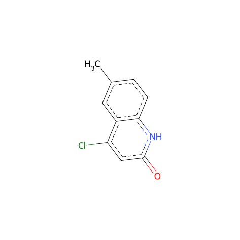 Cc1ccc2[nH]c(=O)cc(Cl)c2c1